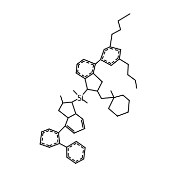 CCCCc1cc(CCCC)cc(-c2cccc3c2CC(CC2(C)CCCCC2)C3[Si](C)(C)C2C(C)CC3C(c4ccccc4-c4ccccc4)=CC=CC32)c1